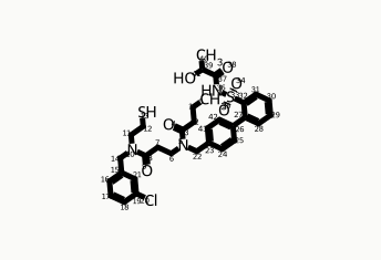 CCCC(=O)N(CCC(=O)N(CCS)Cc1cccc(Cl)c1)Cc1ccc(-c2ccccc2S(=O)(=O)NC(=O)C(C)O)cc1